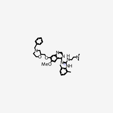 COc1cc2c(/N=C(\NCCN(C)C)Nc3c(C)cccc3C)ncnc2cc1OCC1CN(Cc2ccccc2)CCO1